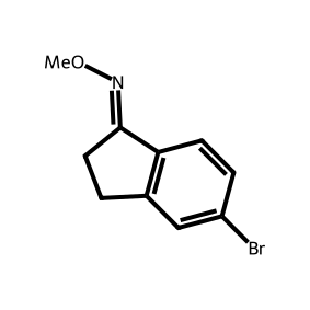 CO/N=C1\CCc2cc(Br)ccc21